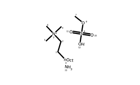 CCCCCCCCCC[N+](C)(C)C.COS(=O)(=O)O.N